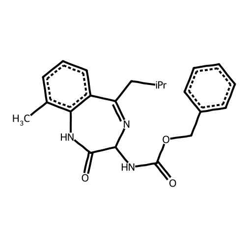 Cc1cccc2c1NC(=O)C(NC(=O)OCc1ccccc1)N=C2CC(C)C